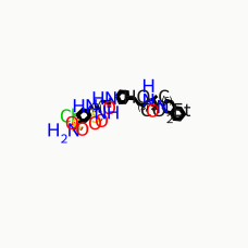 CCOC(=O)[C@H](CCc1ccc(NC(=O)C[C@H]2Nc3cc(Cl)c(S(N)(=O)=O)cc3S(=O)(=O)N2)cc1)NC(C)C(=O)N1Cc2ccccc2C[C@H]1C(=O)O